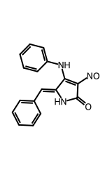 O=NC1=C(Nc2ccccc2)C(=Cc2ccccc2)NC1=O